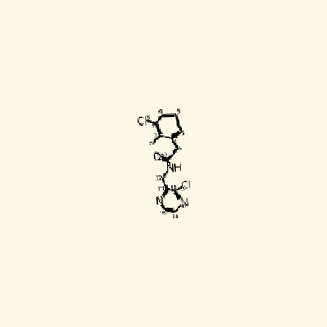 Cc1c(Cl)cccc1CC(=O)NCc1nccnc1Cl